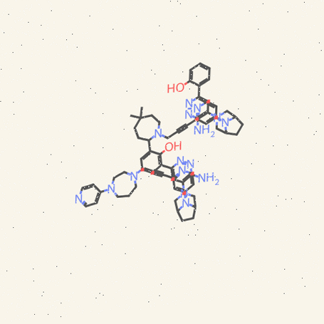 CC1(C)CCC(c2cccc(-c3cc(N4CC5CCC(C4)N5c4ccnc(C#CCN5CCCN(c6ccncc6)CC5)c4)c(N)nn3)c2O)N(CC#Cc2cc(N3C4CCC3CN(c3cc(-c5ccccc5O)nnc3N)C4)ccn2)CC1